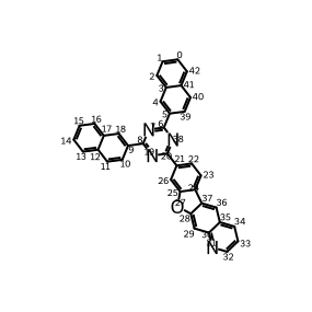 c1ccc2cc(-c3nc(-c4ccc5ccccc5c4)nc(-c4ccc5c(c4)oc4cc6ncccc6cc45)n3)ccc2c1